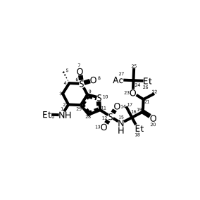 CCNC1C[C@H](C)S(=O)(=O)c2sc(S(=O)(=O)NC(C)(CC)C(=O)C(C)OC(C)(CC)C(C)=O)cc21